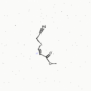 COC(=O)/C=C\SCC#N